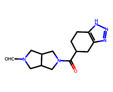 O=CN1CC2CN(C(=O)C3CCc4[nH]nnc4C3)CC2C1